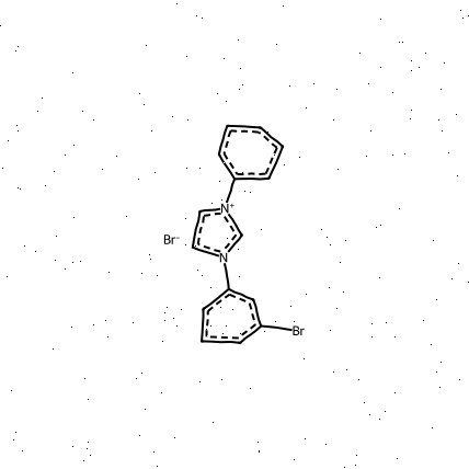 Brc1cccc(-n2cc[n+](-c3ccccc3)c2)c1.[Br-]